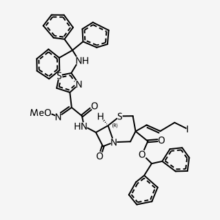 CON=C(C(=O)NC1C(=O)N2CC(C=CCI)(C(=O)OC(c3ccccc3)c3ccccc3)CS[C@H]12)c1csc(NC(c2ccccc2)(c2ccccc2)c2ccccc2)n1